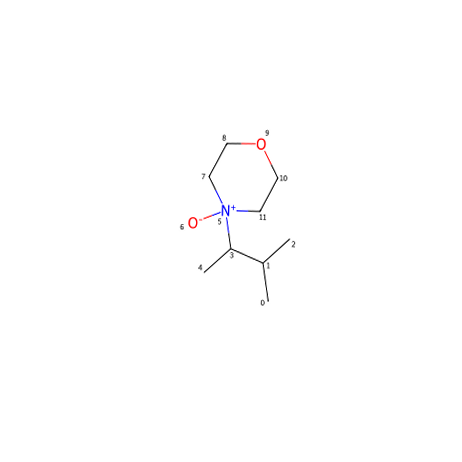 CC(C)C(C)[N+]1([O-])CCOCC1